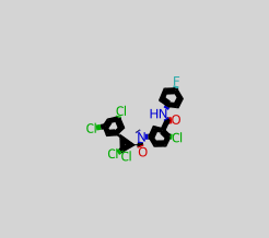 CN(C(=O)[C@H]1[C@H](c2cc(Cl)cc(Cl)c2)C1(Cl)Cl)c1ccc(Cl)c(C(=O)Nc2ccc(F)cc2)c1